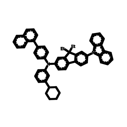 CCC1(CC)c2cc(N(c3ccc(-c4cccc5ccccc45)cc3)c3cccc(C4CCCCC4)c3)ccc2-c2ccc(-n3c4ccccc4c4ccccc43)cc21